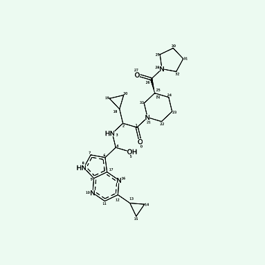 O=C(C(NC(O)c1c[nH]c2ncc(C3CC3)nc12)C1CC1)N1CCC[C@H](C(=O)N2CCCC2)C1